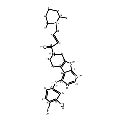 CC1CCCC(C)N1CC=CC(=O)N1CCc2c(sc3ncnc(Nc4ccc(F)c(Cl)c4)c23)C1